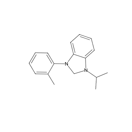 Cc1ccccc1N1CN(C(C)C)c2ccccc21